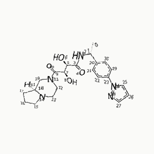 C[C@@H](NC(=O)[C@H](O)[C@@H](O)C(=O)N1CCN2CCC[C@H]2C1)c1ccc(-n2cccn2)cc1